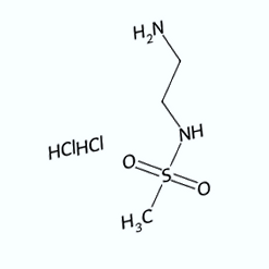 CS(=O)(=O)NCCN.Cl.Cl